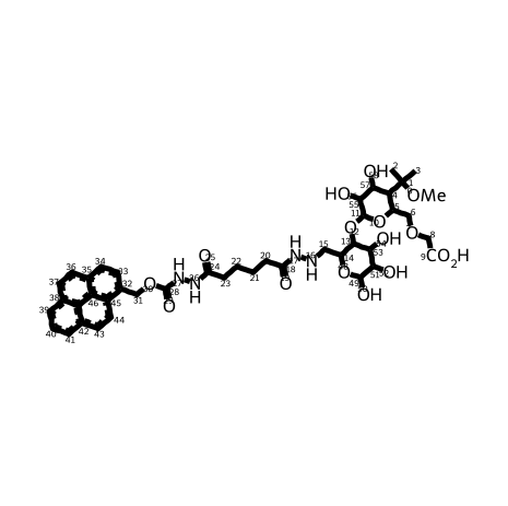 COC(C)(C)C1C(COCC(=O)O)OC(OC2C(CNNC(=O)CCCCC(=O)NNC(=O)OCc3ccc4ccc5cccc6ccc3c4c56)OC(O)C(O)C2O)C(O)C1O